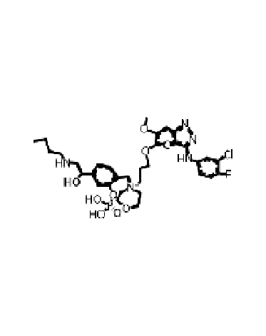 CCCCNCC(O)c1ccc(C[N+]2(CCCOc3cc4c(Nc5ccc(F)c(Cl)c5)ncnc4cc3OC)CCOCC2)c(OP(=O)(O)O)c1